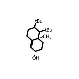 CC(C)(C)C1CCC2=C[C@@H](O)CC[C@]2(C)C1C(C)(C)C